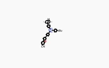 C[C@@H]1C[C@@H]2C[C@H](C)CC(c3ccc(-c4nc(-c5ccc(-c6ccc7c(c6)oc6cc(C#N)ccc67)cc5)nc(-c5ccc(C(C)(C)C)cc5)n4)cc3)(C1)C2